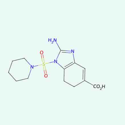 Nc1nc2c(n1S(=O)(=O)N1CCCCC1)CCC(C(=O)O)=C2